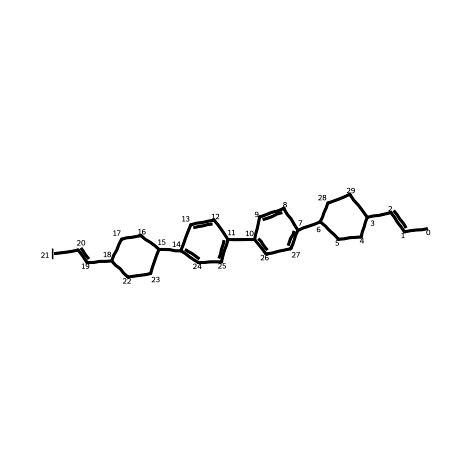 C/C=C/C1CCC(c2ccc(-c3ccc(C4CCC(/C=C/I)CC4)cc3)cc2)CC1